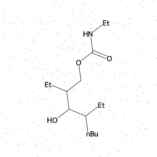 CCCCC(CC)C(O)C(CC)COC(=O)NCC